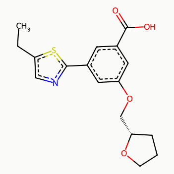 CCc1cnc(-c2cc(OC[C@@H]3CCCO3)cc(C(=O)O)c2)s1